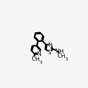 CNc1nc(-c2ccccc2-c2ccc(C)nc2)cs1